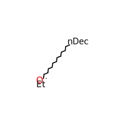 CCCCCCCCCCCCCCCCCCCCCC[CH]OCC